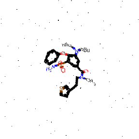 CCCCN(CCCC)c1cc(C(=O)N(C)CCc2ccsc2)cc(S(N)(=O)=O)c1Oc1ccccc1